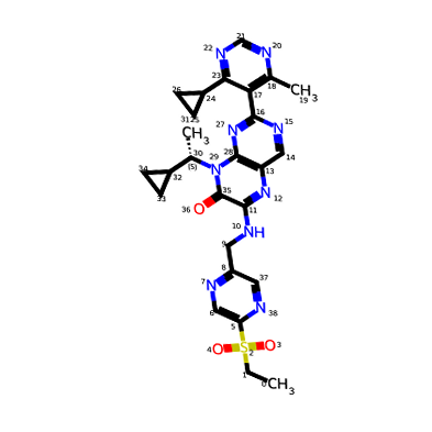 CCS(=O)(=O)c1cnc(CNc2nc3cnc(-c4c(C)ncnc4C4CC4)nc3n([C@@H](C)C3CC3)c2=O)cn1